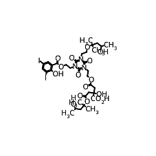 CC(O)CC(C)(C)OCCn1c(=O)n(CCOC(=O)CC(O)(CC(=O)OC(C)(C)CC(C)O)C(=O)O)c(=O)n(CCOC(=O)c2cc(I)cc(I)c2O)c1=O